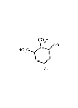 CCCC1CCCC(C(=O)O)C1C(=O)O.[Al]